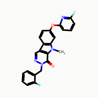 Cn1c2cc(Oc3cccc(F)n3)ccc2c2cnn(Cc3ccccc3F)c(=O)c21